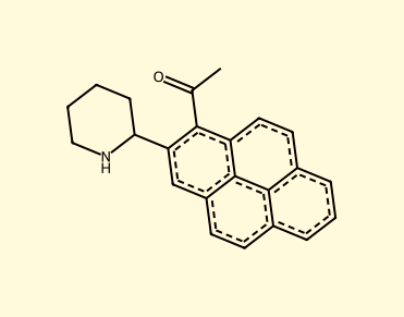 CC(=O)c1c(C2CCCCN2)cc2ccc3cccc4ccc1c2c34